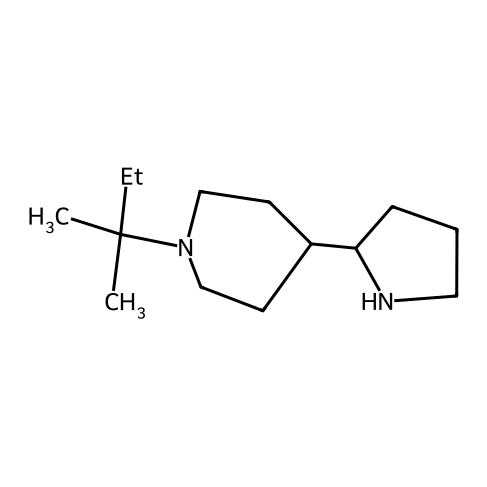 CCC(C)(C)N1CCC(C2CCCN2)CC1